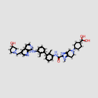 Cc1c(NC(=O)c2nc3c(n2C)CCN(C2CCC(C(O)O)CC2)C3)cccc1-c1cccc(Nc2nccc3cc(CN4CC[C@@H](O)C4)cnc23)c1C